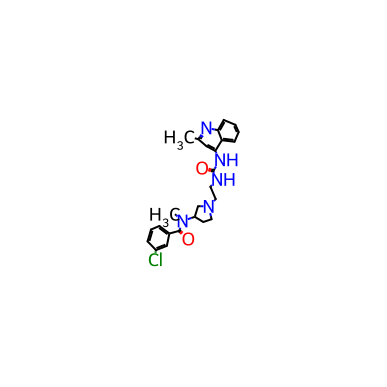 Cc1cc(NC(=O)NCCN2CCC(N(C)C(=O)c3cccc(Cl)c3)C2)c2ccccc2n1